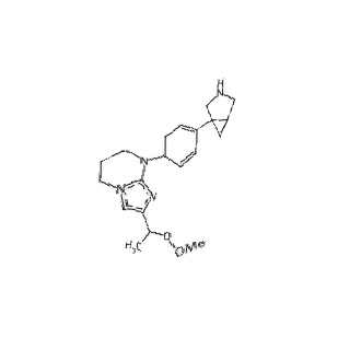 COOC(C)c1cn2c(n1)N(C1C=CC(C34CNCC3C4)=CC1)CCC2